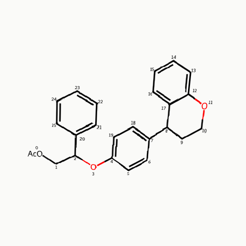 CC(=O)OCC(Oc1ccc(C2CCOc3ccccc32)cc1)c1ccccc1